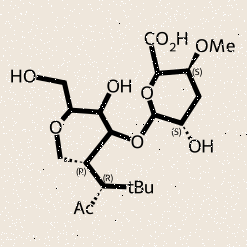 CO[C@H]1C[C@H](O)C(OC2C(O)C(CO)OC[C@H]2[C@@H](C(C)=O)C(C)(C)C)OC1C(=O)O